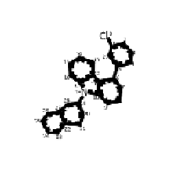 Clc1cccc(-c2cccc3c2c2ccccc2n3-c2ccc3ccccc3c2)c1